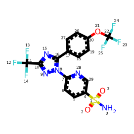 NS(=O)(=O)c1ccc(-n2nc(C(F)(F)F)nc2-c2ccc(OC(F)(F)F)cc2)nc1